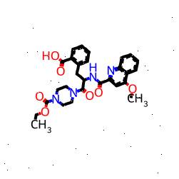 CCOC(=O)N1CCN(C(=O)C(Cc2ccccc2C(=O)O)NC(=O)c2cc(OC)c3ccccc3n2)CC1